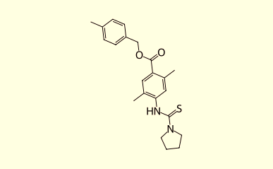 Cc1ccc(COC(=O)c2cc(C)c(NC(=S)N3CCCC3)cc2C)cc1